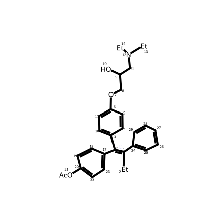 CC/C(=C(/c1ccc(OCC(O)CN(CC)CC)cc1)c1ccc(OC(C)=O)cc1)c1ccccc1